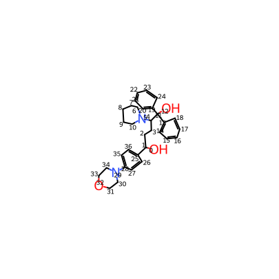 OC(CCC(N1CCCCC1)C(O)(c1ccccc1)c1ccccc1)c1ccc(N2CCOCC2)cc1